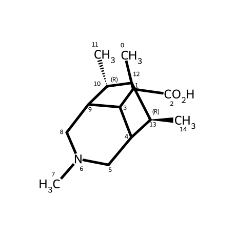 CC(C(=O)O)C1C2CN(C)CC1[C@H](C)C[C@H]2C